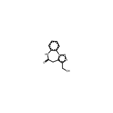 O=C1Cc2c(CO)nnn2-c2ccccc2N1